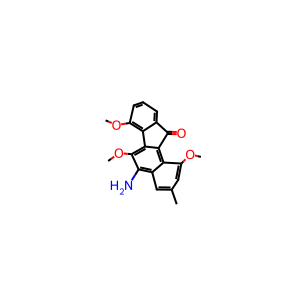 COc1cccc2c1-c1c(OC)c(N)c3cc(C)cc(OC)c3c1C2=O